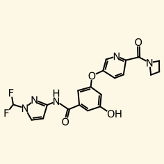 O=C(Nc1ccn(C(F)F)n1)c1cc(O)cc(Oc2ccc(C(=O)N3CCC3)nc2)c1